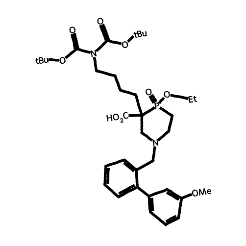 CCOP1(=O)CCN(Cc2ccccc2-c2cccc(OC)c2)CC1(CCCCN(C(=O)OC(C)(C)C)C(=O)OC(C)(C)C)C(=O)O